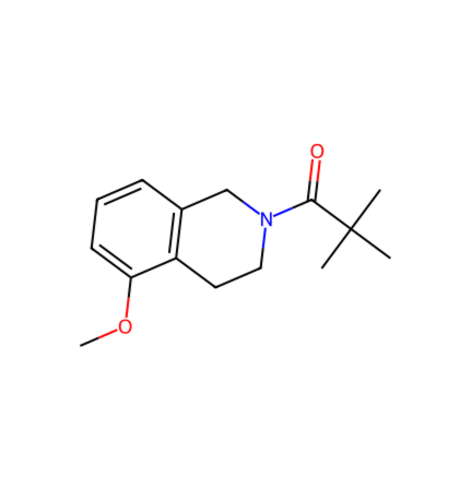 COc1cccc2c1CCN(C(=O)C(C)(C)C)C2